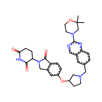 CC1(C)CN(c2ncc3cc(CN4CCC(Oc5ccc6c(c5)CN(C5CCC(=O)NC5=O)C6=O)C4)ccc3n2)CCO1